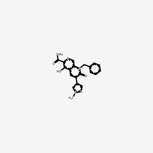 COC(=O)c1ncc2c(cc(-c3cnn(C)c3)c(=O)n2Cc2ccccc2)c1O